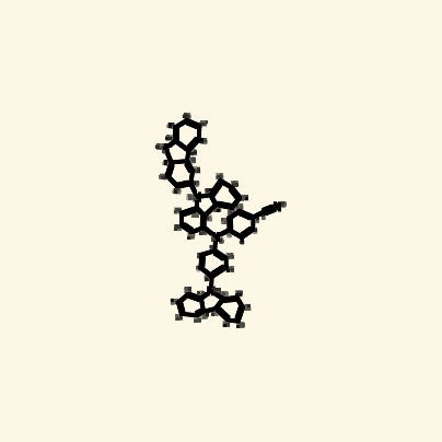 N#Cc1ccc(N(c2ccc(-n3c4ccccc4c4ccccc43)cc2)c2cccc3c2c2ccccc2n3-c2ccc3sc4ccccc4c3c2)cc1